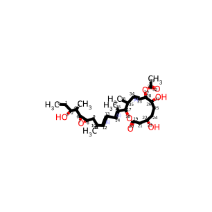 CCC(O)C(C)C1OC1CC(C)/C=C/C=C(\C)C1OC(=O)CC(O)CCC(O)C(OC(C)=O)/C=C/C1C